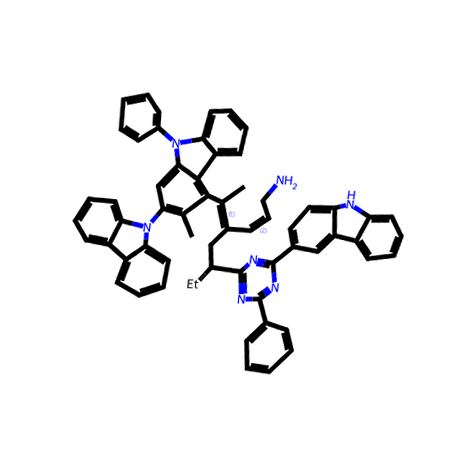 CCC(CC(/C=C\CN)=C(/C)c1c(C)c(-n2c3ccccc3c3ccccc32)cc2c1c1ccccc1n2-c1ccccc1)c1nc(-c2ccccc2)nc(-c2ccc3[nH]c4ccccc4c3c2)n1